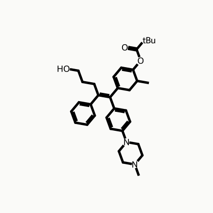 CC1CC(/C(=C(\CCCO)c2ccccc2)c2ccc(N3CCN(C)CC3)cc2)=CC=C1OC(=O)C(C)(C)C